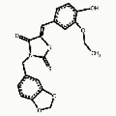 CCOc1cc(C=C2SC(=S)N(Cc3ccc4c(c3)OCO4)C2=O)ccc1O